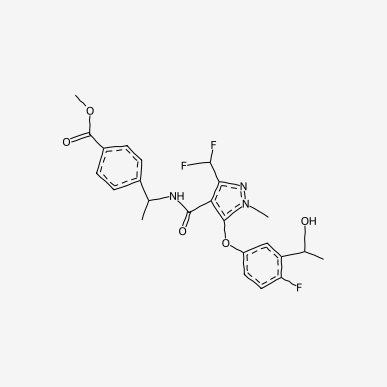 COC(=O)c1ccc(C(C)NC(=O)c2c(C(F)F)nn(C)c2Oc2ccc(F)c(C(C)O)c2)cc1